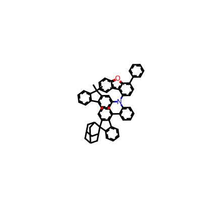 CC1(C)c2ccccc2-c2ccc(N(c3ccccc3-c3cccc4c3-c3ccccc3C43C4CC5CC(C4)CC3C5)c3ccc(-c4ccccc4)c4oc5ccccc5c34)cc21